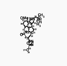 COc1ccc(CN2C(=O)CC(c3nnc(C4CC4)o3)=Cc3ccc(-c4cnn(CC(C)(C)O)c4)cc32)cc1